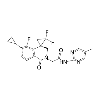 Cc1cnc(NC(=O)CN2C[C@]3(CC3(F)F)c3c(ccc(C4CC4)c3F)C2=O)nc1